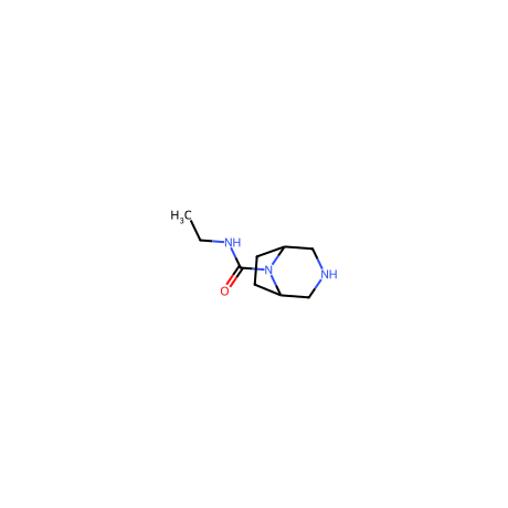 CCNC(=O)N1C2CCC1CNC2